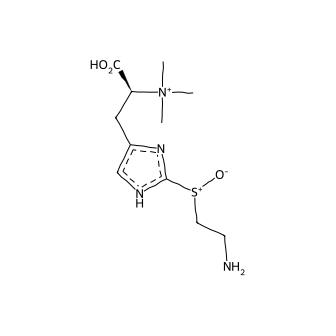 C[N+](C)(C)[C@@H](Cc1c[nH]c([S+]([O-])CCN)n1)C(=O)O